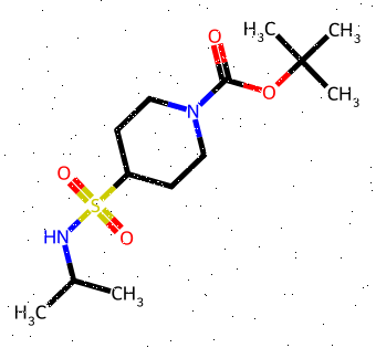 CC(C)NS(=O)(=O)C1CCN(C(=O)OC(C)(C)C)CC1